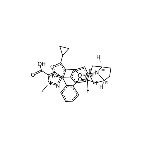 Cn1nc(-c2ccc(N3[C@@H]4CC[C@H]3C[C@H](OCc3c(-c5ccccc5OC(F)(F)F)noc3C3CC3)C4)cc2)cc1C(=O)O